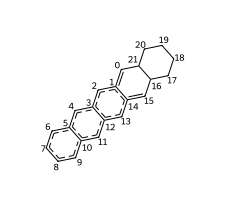 C1=c2cc3cc4ccccc4cc3cc2=CC2CCCCC12